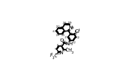 Cc1nc(C(F)(F)F)ccc1C(=O)Nc1ccc(Cl)c(-c2nccc3ccccc23)c1